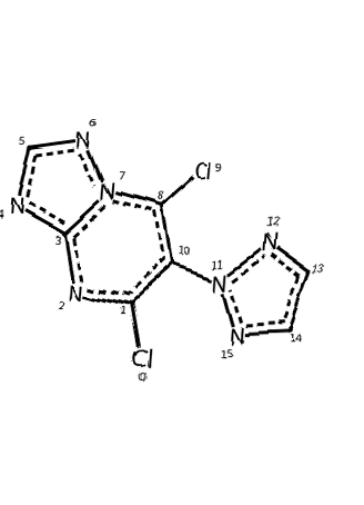 Clc1nc2ncnn2c(Cl)c1-n1nccn1